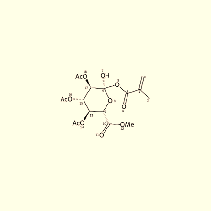 C=C(C)C(=O)O[C@@]1(O)O[C@H](C(=O)OC)[C@@H](OC(C)=O)[C@H](OC(C)=O)[C@H]1OC(C)=O